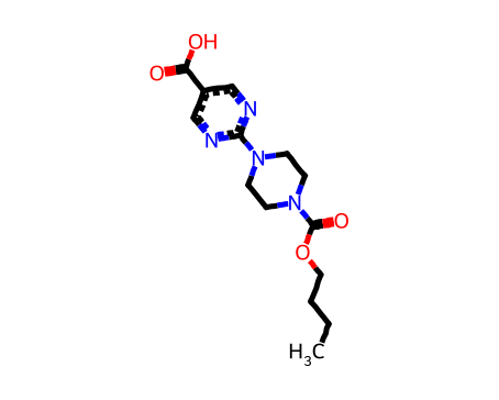 CCCCOC(=O)N1CCN(c2ncc(C(=O)O)cn2)CC1